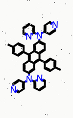 Cc1ccc(-c2c3ccc(N(c4ccncc4)c4ccccn4)cc3c(-c3ccc(C)cc3)c3ccc(N(c4ccncc4)c4ccccn4)cc23)cc1